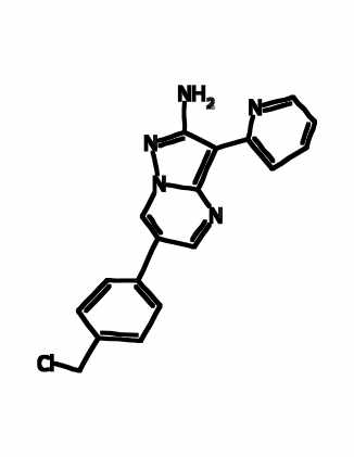 Nc1nn2cc(-c3ccc(CCl)cc3)cnc2c1-c1ccccn1